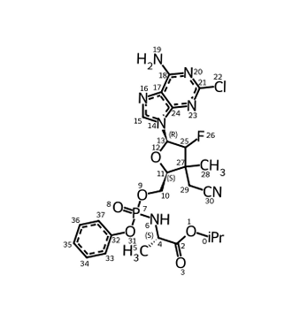 CC(C)OC(=O)[C@H](C)NP(=O)(OC[C@H]1O[C@@H](n2cnc3c(N)nc(Cl)nc32)C(F)C1(C)CC#N)Oc1ccccc1